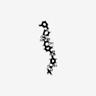 Cc1cccc(CN2CCN(S(=O)(=O)NC(Cc3ccc(-c4noc(-c5ccc(NC(=O)OC(C)(C)C)cc5)n4)c(F)c3)C(=O)O)CC2)c1